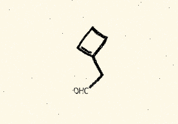 O=[C]CC1=CCC1